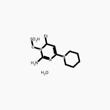 CCC1C=C(N2CCCCC2)N=C(N)N1OS(=O)(=O)O.O